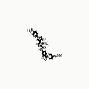 CNC1CCN(C(=O)c2ccc(NC(=O)c3ncc(-c4cn(-c5ccc(N)cn5)nc4C(F)(F)F)n3C)cc2Cl)CC1